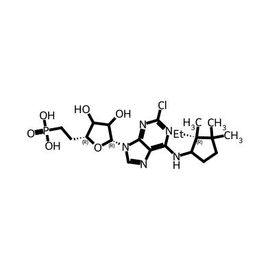 CC[C@@]1(C)C(Nc2nc(Cl)nc3c2ncn3[C@@H]2O[C@H](CCP(=O)(O)O)C(O)C2O)CCC1(C)C